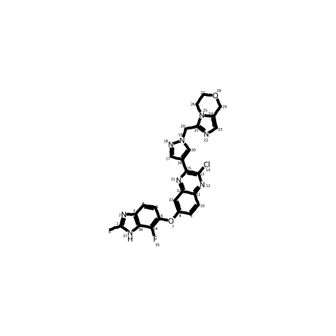 Cc1nc2ccc(Oc3ccc4nc(Cl)c(-c5cnn(Cc6ncc7n6CCOC7)c5)nc4c3)c(F)c2[nH]1